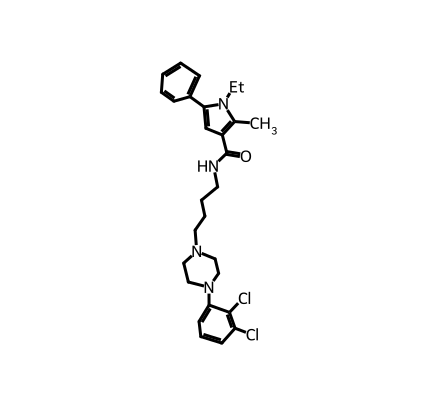 CCn1c(-c2ccccc2)cc(C(=O)NCCCCN2CCN(c3cccc(Cl)c3Cl)CC2)c1C